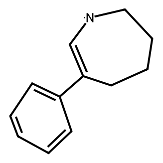 C1=C(c2ccccc2)CCCC[N]1